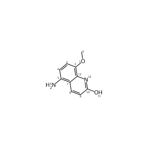 COc1ccc(N)c2ccc(O)nc12